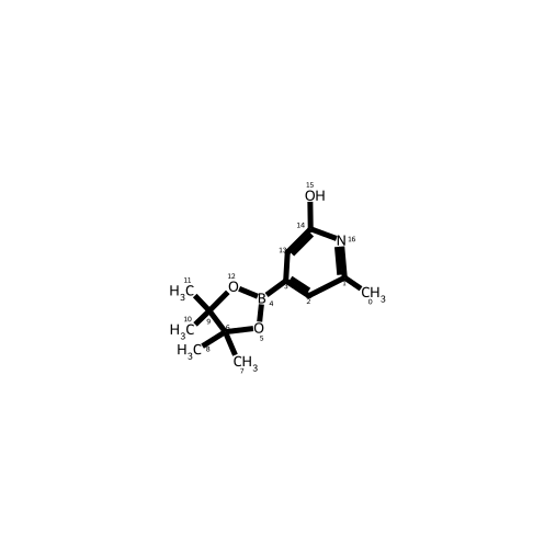 Cc1cc(B2OC(C)(C)C(C)(C)O2)cc(O)n1